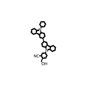 N#Cc1cc(-n2c3ccccc3c3cc(-c4ccc5c(c4)c4ccccc4n5-c4ccccc4)ccc32)ccc1CO